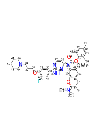 CCN(CC)C(=O)C(C)Cc1ccc(N(C(=O)Oc2c(C)cc(C)cc2C)c2ccnc(Nc3ccc(OCCCN4CCCCC4)c(F)c3)n2)c(OC)c1